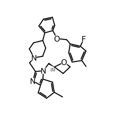 Cc1ccc(COc2ccccc2C2CCN(Cc3nc4ccc(C)cc4n3C[C@@H]3CCO3)CC2)c(F)c1